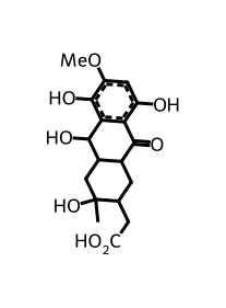 COc1cc(O)c2c(c1O)C(O)C1CC(C)(O)C(CC(=O)O)CC1C2=O